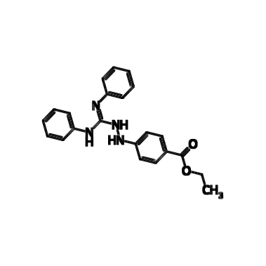 CCOC(=O)c1ccc(NN/C(=N\c2ccccc2)Nc2ccccc2)cc1